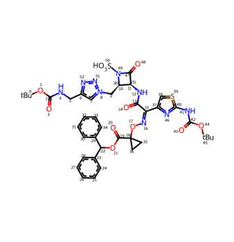 CC(C)(C)OC(=O)NCc1cn(C[C@@H]2[C@H](NC(=O)C(=NOC3(C(=O)OC(c4ccccc4)c4ccccc4)CC3)c3csc(NC(=O)OC(C)(C)C)n3)C(=O)N2S(=O)(=O)O)nn1